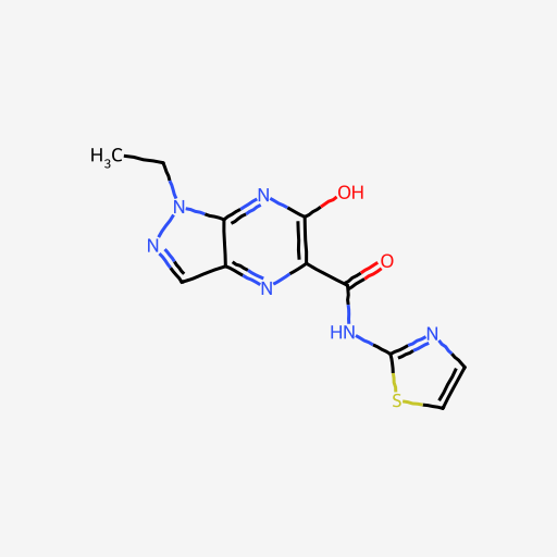 CCn1ncc2nc(C(=O)Nc3nccs3)c(O)nc21